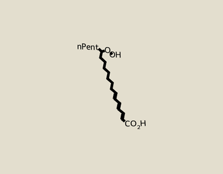 CCCCCC(CCCCCCCC=CC=CC=CC(=O)O)OO